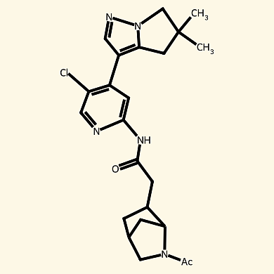 CC(=O)N1CC2CC(CC(=O)Nc3cc(-c4cnn5c4CC(C)(C)C5)c(Cl)cn3)C1C2